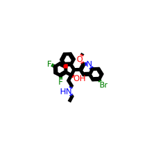 CCNCCC(O)(c1ccc(F)cc1F)C(c1ccccc1)c1cc2cc(Br)ccc2nc1OC